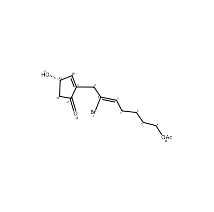 CC(=O)OCCCC/C=C(\Br)CC1=C[C@@H](O)CC1=O